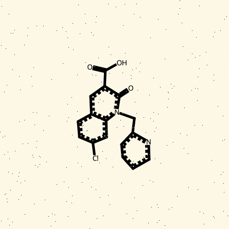 O=C(O)c1cc2ccc(Cl)cc2n(Cc2ccccn2)c1=O